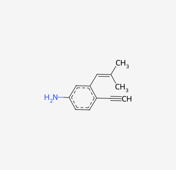 C#Cc1ccc(N)cc1C=C(C)C